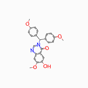 COc1ccc(C(c2ccc(OC)cc2)n2cnc3cc(OC)c(O)cc3c2=O)cc1